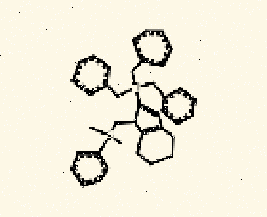 C[Si](C)(CC1[C]([Ti]([CH2]c2ccccc2)([CH2]c2ccccc2)[CH2]c2ccccc2)=CC2=C1CCCC2)c1ccccc1